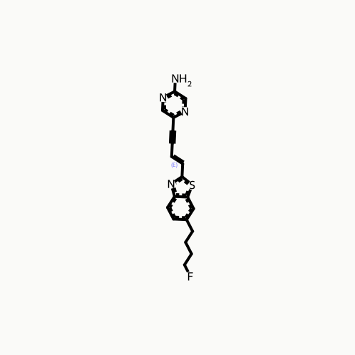 Nc1cnc(C#C/C=C/c2nc3ccc(CCCCF)cc3s2)cn1